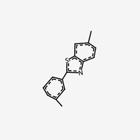 Cc1cccc(-c2nc3ccc(C)cc3s2)c1